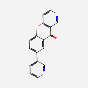 O=c1c2cnccc2oc2ccc(-c3cccnc3)cc12